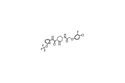 O=C(COc1ccc(Cl)c(F)c1)N[C@H]1CC[C@H](C(=O)Nc2cccc(OC(F)(F)F)n2)NC1